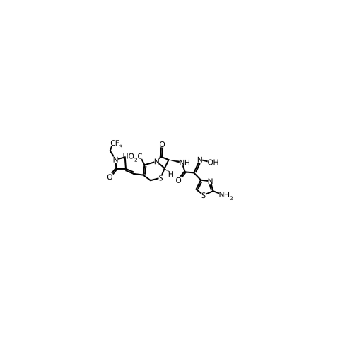 Nc1nc(C(=NO)C(=O)N[C@@H]2C(=O)N3C(C(=O)O)=C(C=C4CN(CC(F)(F)F)C4=O)CS[C@H]23)cs1